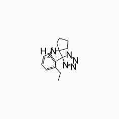 CCc1cccc(C)c1C1(C2(N)CCCC2)N=NN=N1